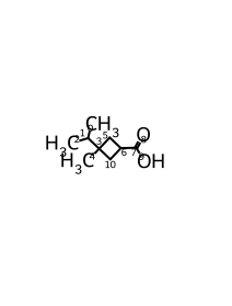 CC(C)C1(C)CC(C(=O)O)C1